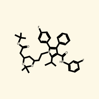 CC(C)c1c(C(=O)Nc2cccc(F)c2)c(-c2ccccc2)c(-c2ccc(F)cc2)n1CCC1CC(CC(=O)OC(C)(C)C)OC(C)(C)O1